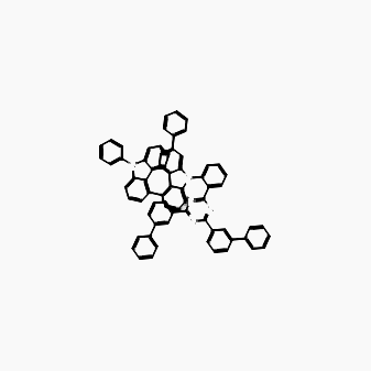 c1ccc(-c2cccc(-c3nc(-c4cccc(-c5ccccc5)c4)nc(-c4ccccc4-n4c5cc(-c6ccccc6)ccc5c5c(-c6cccc7c6c6ccccc6n7-c6ccccc6)cccc54)n3)c2)cc1